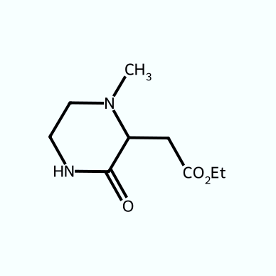 CCOC(=O)CC1C(=O)NCCN1C